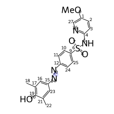 COc1ccc(NS(=O)(=O)c2ccc(/N=N/c3cc(C)c(O)c(C)c3)cc2)nc1